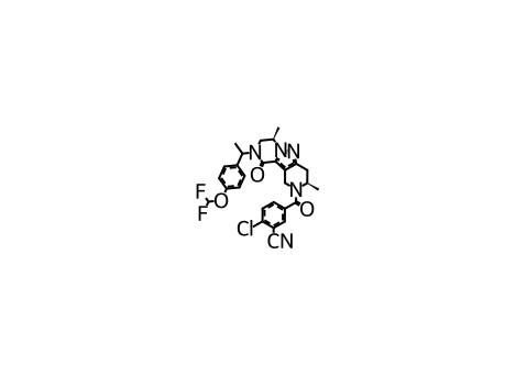 CC(c1ccc(OC(F)F)cc1)N1C[C@@H](C)n2nc3c(c2C1=O)CN(C(=O)c1ccc(Cl)c(C#N)c1)[C@H](C)C3